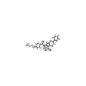 COCCOc1ccc(C(=O)Nc2sc3c(c2C(=O)O)CCC(c2ccccc2)C3)cc1